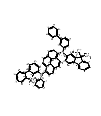 CC1(C)c2ccccc2-c2ccc(N(c3cccc(-c4ccccc4)c3)c3ccc4ccc5c(N(c6ccccc6)c6cccc7c6[Si](C)(C)c6ccccc6-7)ccc6ccc3c4c65)cc21